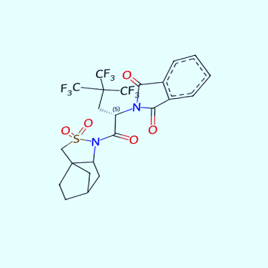 O=C1c2ccccc2C(=O)N1[C@@H](CC(C(F)(F)F)(C(F)(F)F)C(F)(F)F)C(=O)N1C2CC3CCC2(C3)CS1(=O)=O